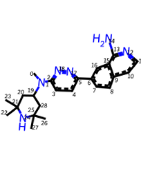 CN(c1ccc(-c2ccc3ccnc(N)c3c2)nn1)C1CC(C)(C)NC(C)(C)C1